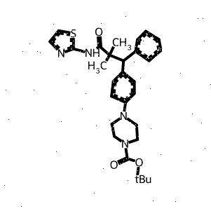 CC(C)(C)OC(=O)N1CCN(c2ccc(C(c3ccccc3)C(C)(C)C(=O)Nc3nccs3)cc2)CC1